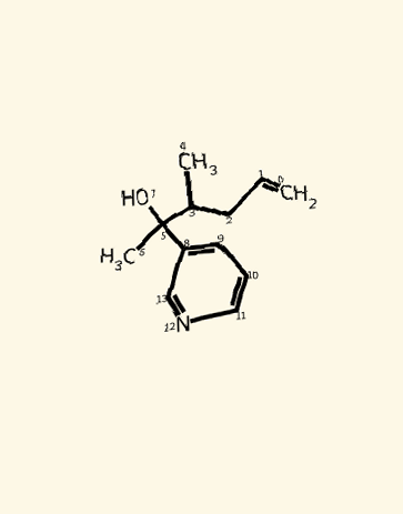 C=CCC(C)C(C)(O)c1cccnc1